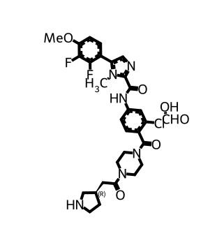 COc1ccc(-c2cnc(C(=O)Nc3ccc(C(=O)N4CCN(C(=O)C[C@H]5CCNC5)CC4)c(Cl)c3)n2C)c(F)c1F.O=CO